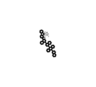 CC1(C)c2ccccc2-c2ccc3c(sc4cc(-c5ccc(-c6c7ccccc7c(-c7ccc8ccccc8c7)c7ccccc67)c6ccccc56)c5ccccc5c43)c21